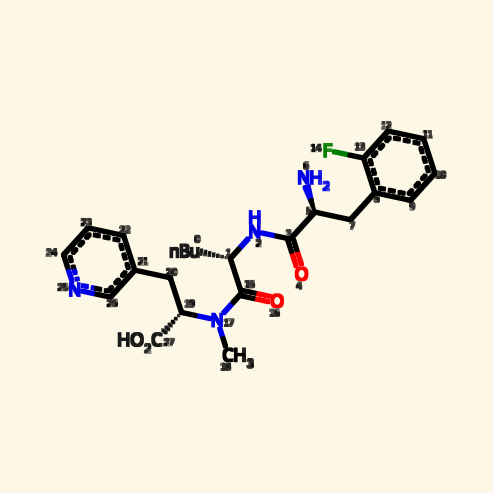 CCCC[C@H](NC(=O)[C@@H](N)Cc1ccccc1F)C(=O)N(C)[C@@H](Cc1cccnc1)C(=O)O